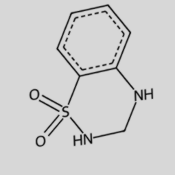 O=S1(=O)NCNc2ccccc21